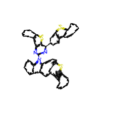 c1ccc2c(c1)sc1cc(-c3nc(-n4c5ccccc5c5cc6c(cc54)sc4ccccc46)nc4c3sc3ccccc34)ccc12